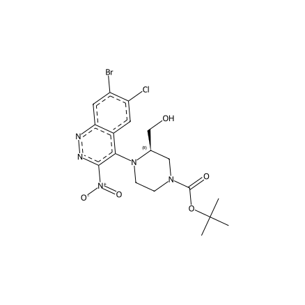 CC(C)(C)OC(=O)N1CCN(c2c([N+](=O)[O-])nnc3cc(Br)c(Cl)cc23)[C@@H](CO)C1